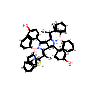 C=C(C)/C(C#N)=c1/c2c(-c3ccc(O)cc3)n(B(c3ccccc3)c3ccccc3)/c(=C(/C#N)c3nc4ccccc4s3)c2c(-c2ccc(O)cc2)n1B(c1ccccc1)c1ccccc1